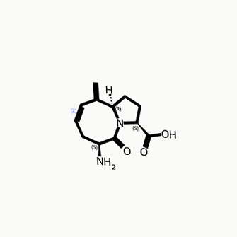 C=C1/C=C\C[C@H](N)C(=O)N2[C@@H]1CC[C@H]2C(=O)O